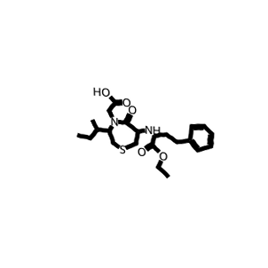 CCOC(=O)C(CCc1ccccc1)NC1CSCC(C(C)CC)N(CC(=O)O)C1=O